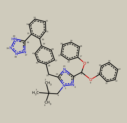 CC(C)(C)Cn1nc(C(Oc2ccccc2)Oc2ccccc2)nc1Cc1ccc(-c2ccccc2-c2nnn[nH]2)cc1